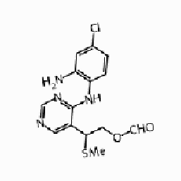 CSC(COC=O)c1cncnc1Nc1ccc(Cl)cc1N